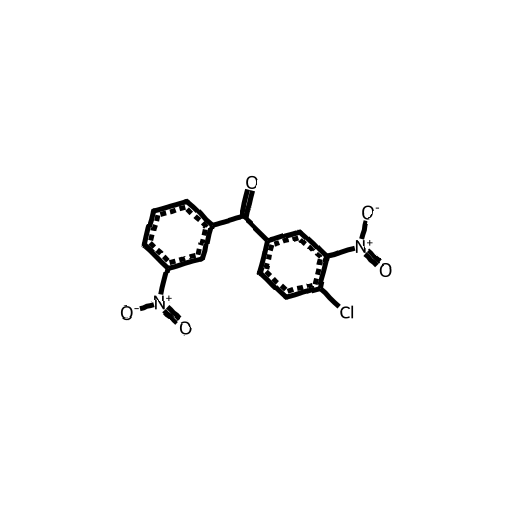 O=C(c1cccc([N+](=O)[O-])c1)c1ccc(Cl)c([N+](=O)[O-])c1